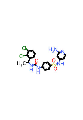 CC(NC(=O)Nc1ccc(S(=O)(=O)Nc2ccnc(N)c2)cc1)c1cccc(Cl)c1Cl